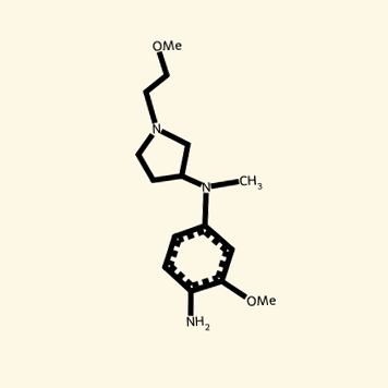 COCCN1CCC(N(C)c2ccc(N)c(OC)c2)C1